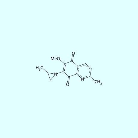 COC1=C(N2CC2C)C(=O)c2nc(C)ccc2C1=O